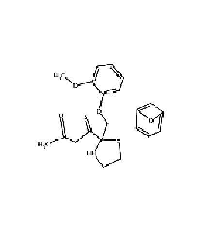 COc1ccccc1OCC1(C(=S)CC(C)=O)NCCS1.c1cc2cc(c1)O2